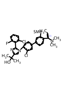 C/C=C(\c1ccc(-c2ccc(-n3cc(C(C)(C)O)nc3-c3c(F)cccc3Cl)c(Cl)c2)cc1SC)N(C)C